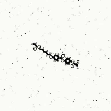 C=CC(=O)OCCCCCCOc1ccc(C(=O)Oc2ccc(OC(=O)C(=C)F)cc2)cc1